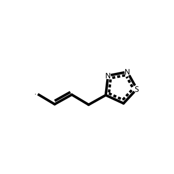 [CH2]C=CCc1csnn1